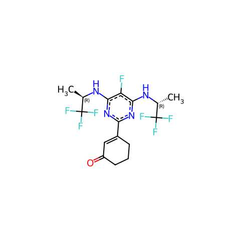 C[C@@H](Nc1nc(C2=CC(=O)CCC2)nc(N[C@H](C)C(F)(F)F)c1F)C(F)(F)F